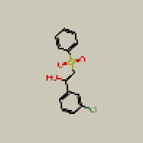 O=S(=O)(CC(O)c1cccc(Cl)c1)c1ccccc1